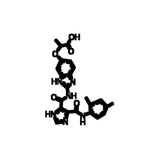 Cc1ccc(NC(=O)c2nc[nH]c2C(=O)Nc2nc3ccc(OC(C)C(=O)O)cc3[nH]2)c(C)c1